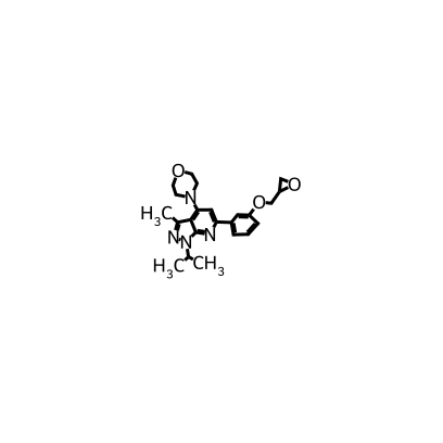 Cc1nn(C(C)C)c2nc(-c3cccc(OCC4CO4)c3)cc(N3CCOCC3)c12